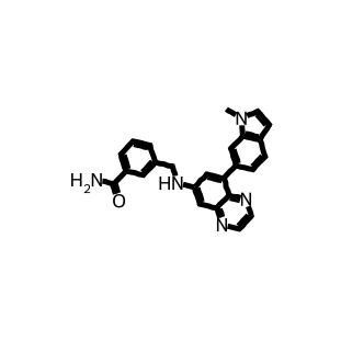 Cn1ccc2ccc(-c3cc(NCc4cccc(C(N)=O)c4)cc4nccnc34)cc21